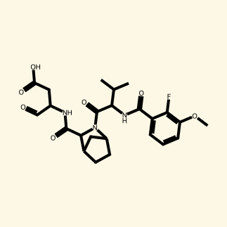 COc1cccc(C(=O)NC(C(=O)N2C3CCC(C3)C2C(=O)NC(C=O)CC(=O)O)C(C)C)c1F